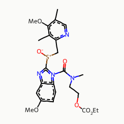 CCOC(=O)OCCN(C)C(=O)n1c([S+]([O-])Cc2ncc(C)c(OC)c2C)nc2cc(OC)ccc21